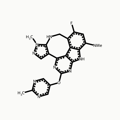 CNc1cc(F)c2c3c1[nH]c1nc(Oc4cnc(C)nc4)nc(c13)-c1cnn(C)c1NC2